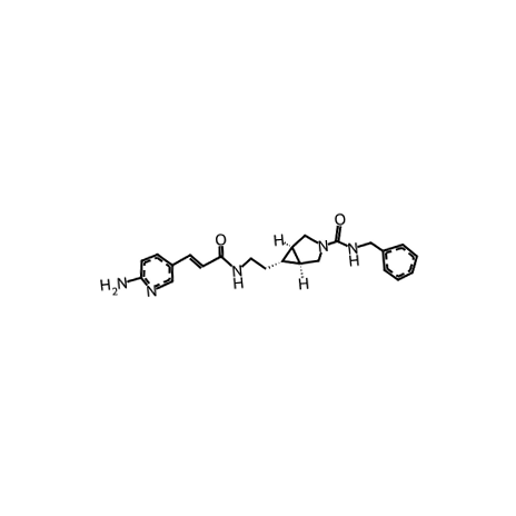 Nc1ccc(/C=C/C(=O)NCC[C@@H]2[C@H]3CN(C(=O)NCc4ccccc4)C[C@@H]23)cn1